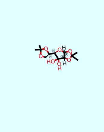 CC1(C)OC[C@H]([C@H]2O[C@@H]3OC(C)(C)O[C@@H]3C2(O)O)O1